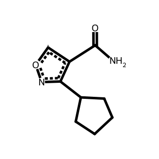 NC(=O)c1[c]onc1C1CCCC1